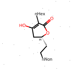 CCCCCCCCCCC[C@@H]1CC(O)=C(CCCCCC)C(=O)O1